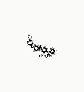 C=C(N1CCC(n2c(OCCC)nc3cccnc32)CC1)C1(F)CCN(Cc2cnc(N)nc2)CC1